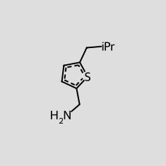 CC(C)Cc1ccc(CN)s1